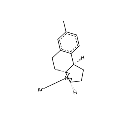 CC(=O)N1C[C@H]2CC[C@@H]3c4ccc(C)cc4CC[C@]23C1